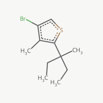 CCC(C)(CC)c1scc(Br)c1C